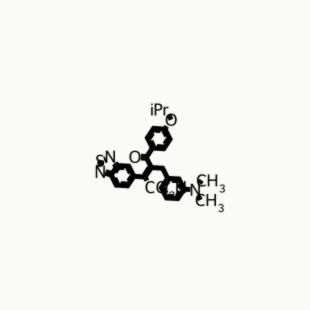 CC(C)Oc1ccc(C(=O)C(Cc2cccc(N(C)C)c2)=C(C(=O)O)c2ccc3nsnc3c2)cc1